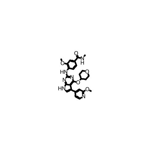 CNC(=O)c1ccc(Nc2nc(OC3CCOCC3)c3c(-c4ccnc(OC)c4)c[nH]c3n2)c(OC)c1